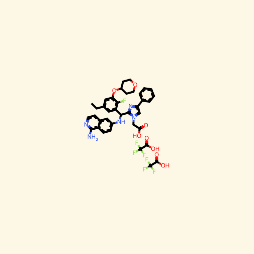 CCc1cc(OC2CCOCC2)c(F)c(C(Nc2ccc3c(N)nccc3c2)c2nc(-c3ccccc3)cn2CC(=O)O)c1.O=C(O)C(F)(F)F.O=C(O)C(F)(F)F